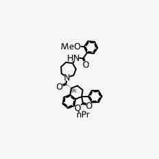 CCCOC(=O)C1(c2ccccc2)CC[C@@H](C(=O)N2CCCC(NC(=O)c3ccccc3OC)CC2)c2ccccc21